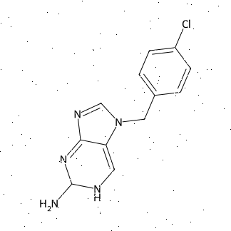 NC1N=c2ncn(Cc3ccc(Cl)cc3)c2=CN1